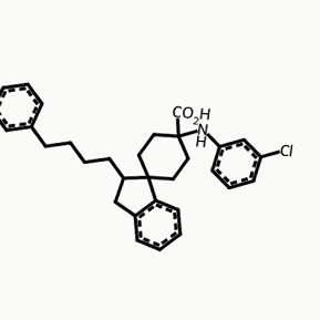 O=C(O)C1(Nc2cccc(Cl)c2)CCC2(CC1)c1ccccc1CC2CCCCc1ccccc1